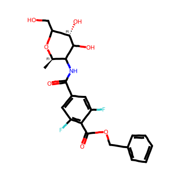 C[C@H]1OC(CO)[C@H](O)C(O)C1NC(=O)c1cc(F)c(C(=O)OCc2ccccc2)c(F)c1